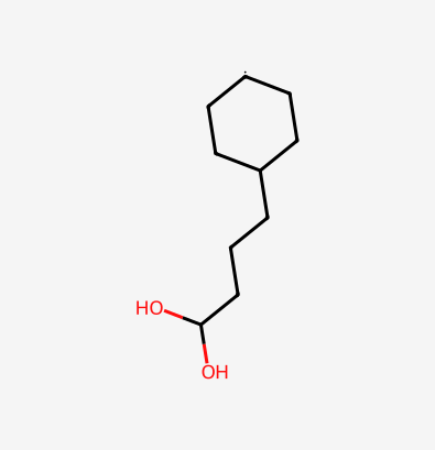 OC(O)CCCC1CC[CH]CC1